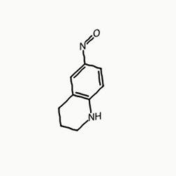 O=Nc1ccc2c(c1)CCCN2